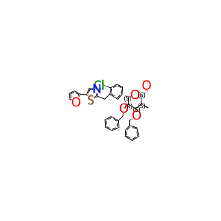 C[C@H]1[C@H](OCc2ccccc2)[C@@H](OCc2ccccc2)[C@H](c2ccc(Cl)c(Cc3ncc(-c4ccco4)s3)c2)O[C@@H]1C=O